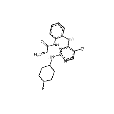 C=CC(=O)Nc1ccccc1Nc1nc(NC2CCC(F)CC2)ncc1Cl